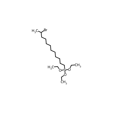 CCO[Si](CCCCCCCCCCC(C)Br)(OCC)OCC